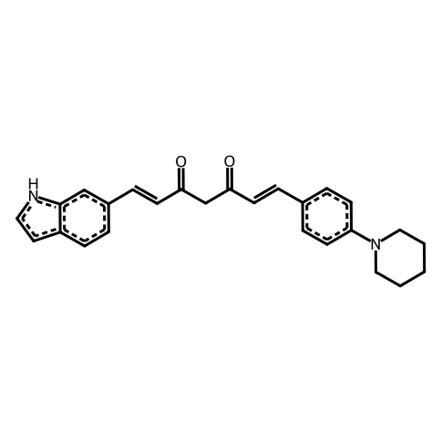 O=C(C=Cc1ccc(N2CCCCC2)cc1)CC(=O)C=Cc1ccc2cc[nH]c2c1